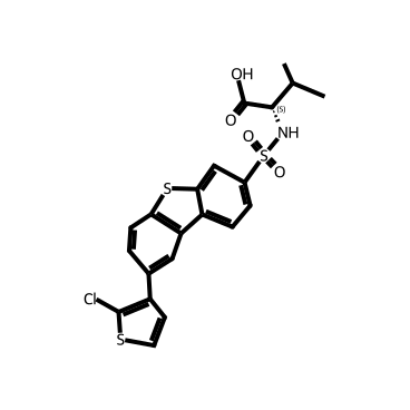 CC(C)[C@H](NS(=O)(=O)c1ccc2c(c1)sc1ccc(-c3ccsc3Cl)cc12)C(=O)O